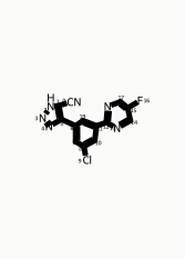 N#Cc1[nH]nnc1-c1cc(Cl)cc(-c2ncc(F)cn2)c1